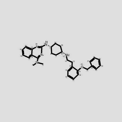 CN(C)c1nc(N[C@H]2CC[C@@H](NCCc3ccccc3OCc3ccccc3)CC2)nc2ccccc12